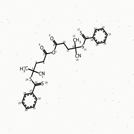 CC(C#N)(CCC(=O)OC(=O)CCC(C)(C#N)SC(=S)c1ccccc1)SC(=S)c1ccccc1